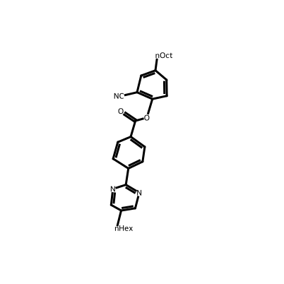 CCCCCCCCc1ccc(OC(=O)c2ccc(-c3ncc(CCCCCC)cn3)cc2)c(C#N)c1